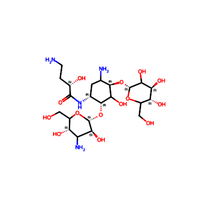 NCC[C@H](O)C(=O)N[C@@H]1CC(N)[C@@H](O[C@H]2OC(CO)[C@@H](O)[C@H](O)C2O)C(O)[C@@H]1O[C@H]1OC(CO)[C@@H](O)C(N)[C@@H]1O